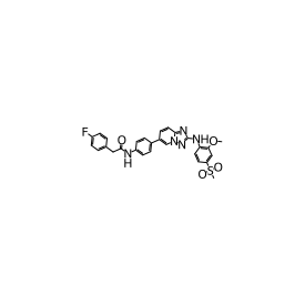 COc1cc(S(C)(=O)=O)ccc1Nc1nc2ccc(-c3ccc(NC(=O)Cc4ccc(F)cc4)cc3)cn2n1